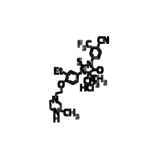 CCc1cc(N2C(=S)N(c3ccc(C#N)c(C(F)(F)F)c3)C(=O)C2(C)C)ccc1OCCN1CCNC(C)C1.Cl